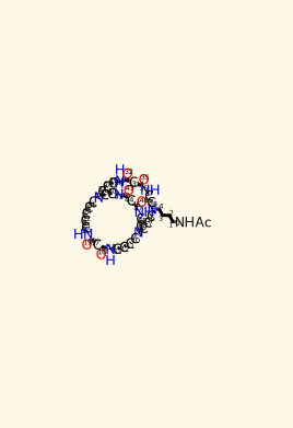 CC(=O)NCCCCN1CCCN2CCCCNC(=O)CC(=O)NCCCCCN(CCCNC(=O)CC(=O)NCC1)CCNC(=O)CC(=O)NCC2